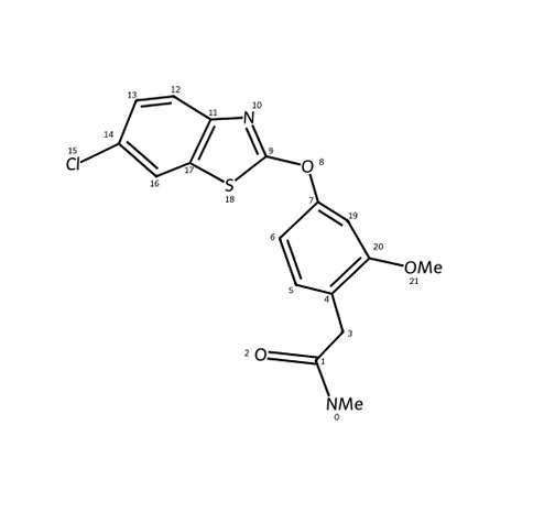 CNC(=O)Cc1ccc(Oc2nc3ccc(Cl)cc3s2)cc1OC